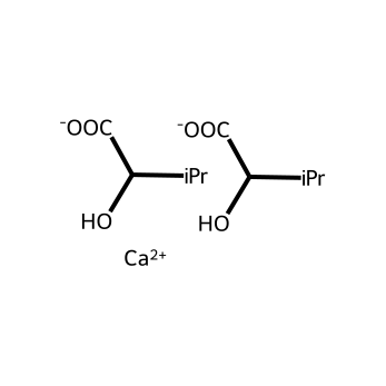 CC(C)C(O)C(=O)[O-].CC(C)C(O)C(=O)[O-].[Ca+2]